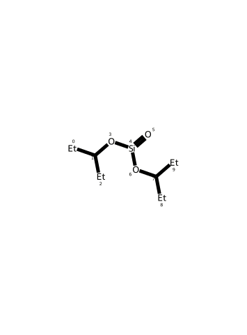 CCC(CC)O[Si](=O)OC(CC)CC